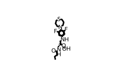 CCCC(=O)NC[C@@H](CNc1cc(F)c(N2CCCSCCC2)c(F)c1)OO